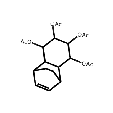 CC(=O)OC1C(OC(C)=O)C(OC(C)=O)C2C3C=CC(CC3)C2C1OC(C)=O